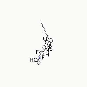 CCCCCCCCCC(OC)c1cccc(-c2csc(NC(=O)c3cc(F)c(/C=C(\C)C(=O)O)c(F)c3)n2)c1OC